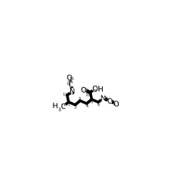 CC(CCCC(CN=C=O)C(=O)O)CN=C=O